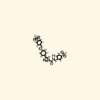 CS(=O)(=O)c1ccc(CNC(=O)n2cnc(-c3ccc(OCc4ccc(S(C)(=O)=O)cc4)cc3)c2)cc1